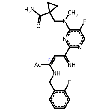 CC(=O)/C(=C/C(=N)c1ncc(F)c(N(C)CC2(C(N)=O)CC2)n1)NCc1ccccc1F